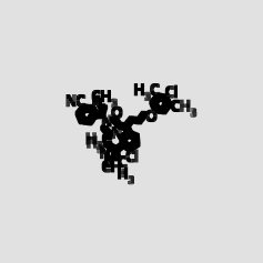 Cc1cc(OCCCc2c3n(c4c(-c5c(C)nn(C)c5C)c(Cl)ccc24)C(C)CN(c2cn(C)c4c(C#N)cccc24)C3=O)cc(C)c1Cl